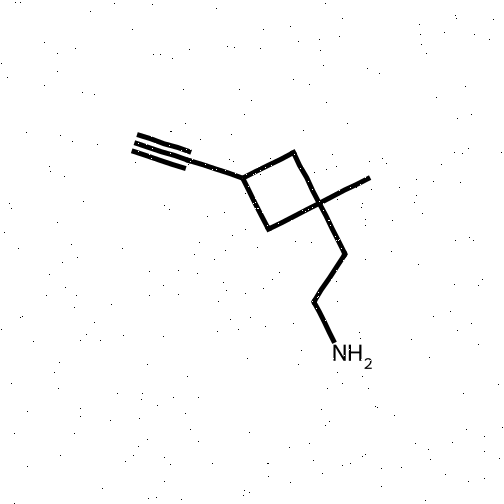 C#CC1CC(C)(CCN)C1